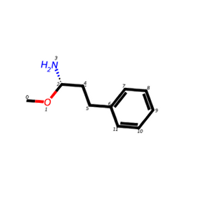 CO[C@H](N)[CH]Cc1ccccc1